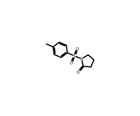 Cc1ccc(S(=O)(=O)N2CCCC2=O)cc1